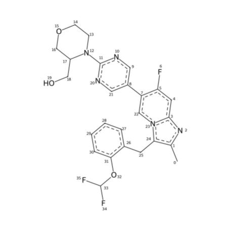 Cc1nc2cc(F)c(-c3cnc(N4CCOCC4CO)nc3)cn2c1Cc1ccccc1OC(F)F